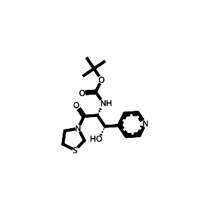 CC(C)(C)OC(=O)N[C@@H](C(=O)N1CCSC1)[C@@H](O)c1ccncc1